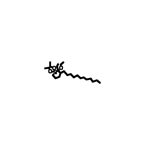 CCCCCCCCCCCCC1CCC[Si](OCC)(OCC)C1(CC)OCC